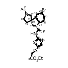 CCOC(=O)CSc1cnc(NC(=O)N2C[C@@]3(CCN(C(C)=O)C3)c3cc(Br)ccc32)s1